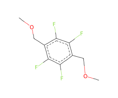 COCc1c(F)c(F)c(COC)c(F)c1F